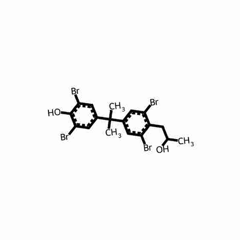 CC(O)Cc1c(Br)cc(C(C)(C)c2cc(Br)c(O)c(Br)c2)cc1Br